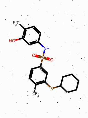 O=S(=O)(Nc1ccc(C(F)(F)F)c(O)c1)c1ccc(C(F)(F)F)c(SC2CCCCC2)c1